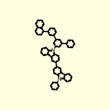 c1ccc(-c2cc(-c3cccc(-c4cccc5ccccc45)c3)cc(-n3c4ccccc4c4cc(-c5ccc6c(c5)c5ccccc5n6-c5ccccc5)ccc43)c2)cc1